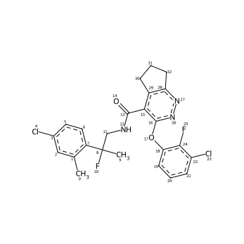 Cc1cc(Cl)ccc1C(C)(F)CNC(=O)c1c(Oc2cccc(Cl)c2F)nnc2c1CCC2